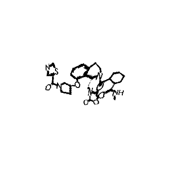 CNC(=O)[C@@H]1CCCCC1C(=O)N1CCc2cccc(O[C@H]3CCN(C(=O)c4cncs4)C3)c2[C@H]1CN1CCOC1=O